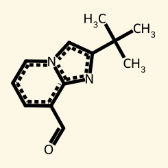 CC(C)(C)c1cn2cccc(C=O)c2n1